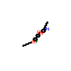 CCCCCCCCOc1ccc(-c2ccc(C(=O)OC3CCC(C#N)(CCCCCCC)CC3)cc2)cc1F